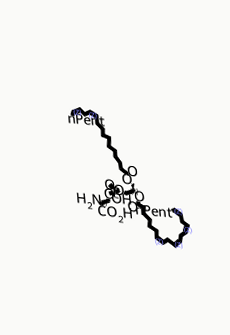 CCCCC/C=C\C/C=C\C/C=C\C/C=C\CCCCCC(=O)O[C@H](COC(=O)CCCCCCCCC/C=C\C/C=C\CCCCC)COP(=O)(O)OC[C@H](N)C(=O)O